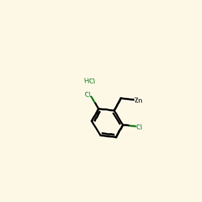 Cl.Clc1cccc(Cl)c1[CH2][Zn]